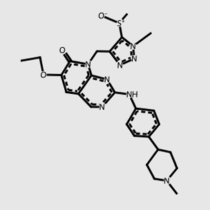 CCOc1cc2cnc(Nc3ccc(C4CCN(C)CC4)cc3)nc2n(Cc2nnn(C)c2[S+](C)[O-])c1=O